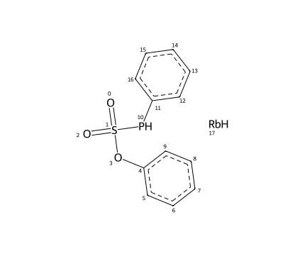 O=S(=O)(Oc1ccccc1)Pc1ccccc1.[RbH]